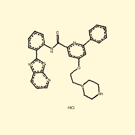 Cl.O=C(Nc1ccccc1-c1nc2cccnc2s1)c1cc(OCCN2CCNCC2)cc(-c2ccccc2)n1